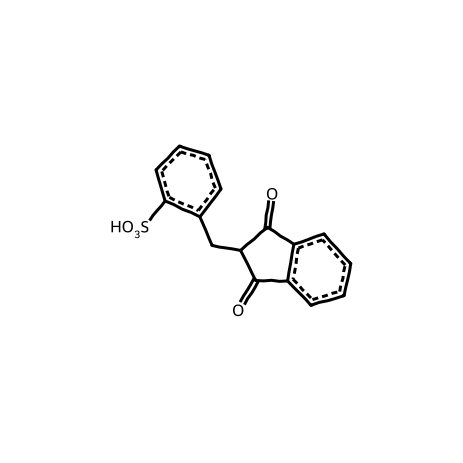 O=C1c2ccccc2C(=O)C1Cc1ccccc1S(=O)(=O)O